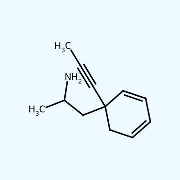 CC#CC1(CC(C)N)C=CC=CC1